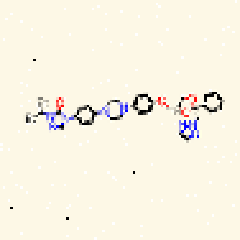 CCC(CC)n1ncn(-c2ccc(N3CCN(c4ccc(OC[C@@H]5CO[C@@](Cn6nccn6)(c6ccccc6)O5)cc4)CC3)cc2)c1=O